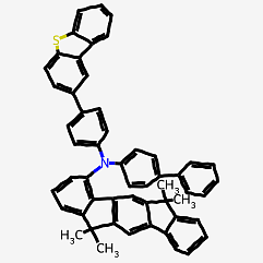 CC1(C)c2ccccc2-c2cc3c(cc21)-c1c(N(c2ccc(-c4ccccc4)cc2)c2ccc(-c4ccc5sc6ccccc6c5c4)cc2)cccc1C3(C)C